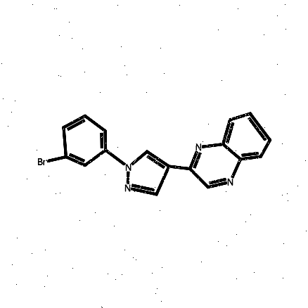 Brc1cccc(-n2cc(-c3cnc4ccccc4n3)cn2)c1